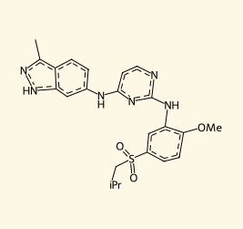 COc1ccc(S(=O)(=O)CC(C)C)cc1Nc1nccc(Nc2ccc3c(C)n[nH]c3c2)n1